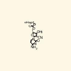 CCCCCCCOC(=O)OC[C@H]1O[C@@H](n2ccc(N)nc2=O)[C@@H](C#N)[C@@H]1O